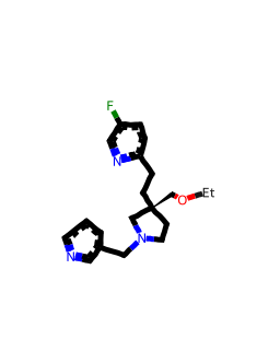 CCOC[C@@]1(CCc2ccc(F)cn2)CCN(Cc2cccnc2)C1